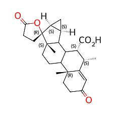 C[C@@H]1C2=CC(=O)CC[C@]2(C)C2CC[C@@]3(C)C(C2[C@@H]1C(=O)O)[C@@H]1C[C@@H]1[C@]31CCC(=O)O1